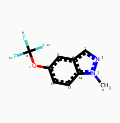 Cn1ncc2cc(OC(F)(F)F)ccc21